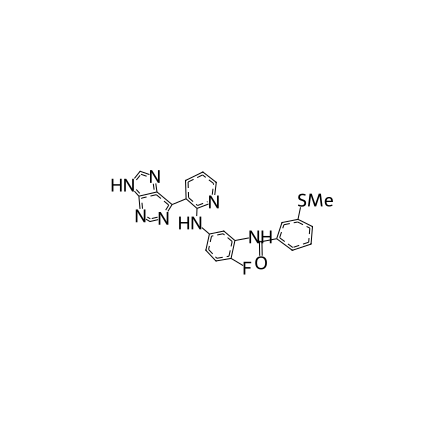 CSc1cccc(C(=O)Nc2cc(Nc3ncccc3-c3ncnc4[nH]cnc34)ccc2F)c1